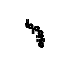 O=C(Nc1ccnnc1)c1cc2ccc(N3CCCC(Nc4ccc5[nH]ncc5c4)C3)cc2[nH]1